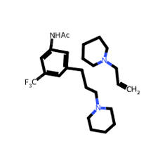 C=CCN1CCCCC1.CC(=O)Nc1cc(CCCN2CCCCC2)cc(C(F)(F)F)c1